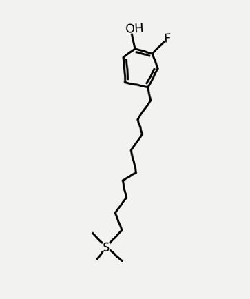 CS(C)(C)CCCCCCCCCc1ccc(O)c(F)c1